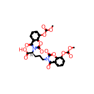 COC(=O)Oc1cccc2c(=O)n(CCC[C@@H](C(=O)O)n3c(=O)oc4c(OC(=O)OC)cccc4c3=O)c(=O)oc12